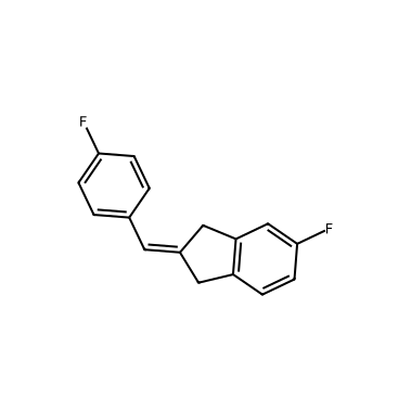 Fc1ccc(C=C2Cc3ccc(F)cc3C2)cc1